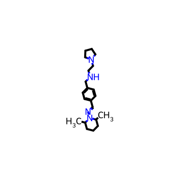 CC1CCCC(C)N1/N=C/c1ccc(CNCCN2CCCC2)cc1